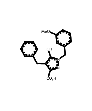 COc1cccc(Cn2nc(C(=O)O)c(Cc3ccccc3)c2O)c1